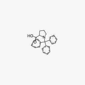 O=C(O)C1CCCN1C(c1ccccc1)(c1ccccc1)c1ccccc1